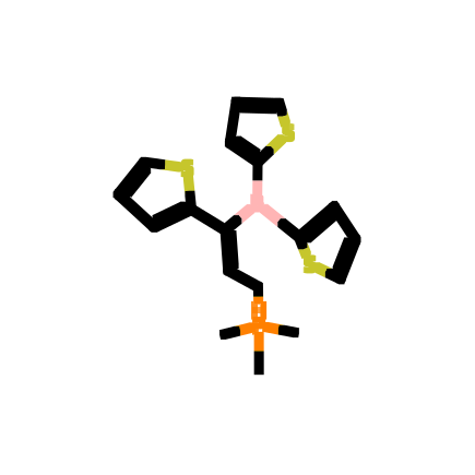 C[PH](C)(C)C/C=C(\B(c1cccs1)c1cccs1)c1cccs1